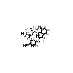 C[C@H](CN(C)C)Oc1nc(Nc2cc3cccc(N)c3cn2)cnc1C#N